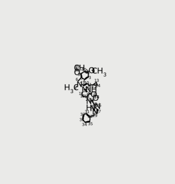 COc1ccc(CN(C)C2=CC(C3CC3)NN2CCC(C=O)NC(=O)c2ncn(Cc3ccccc3)n2)c(OC)c1